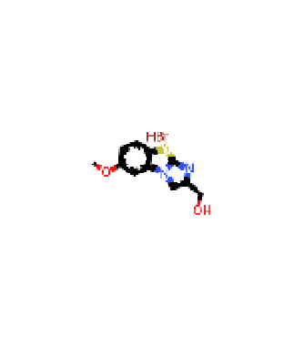 Br.COc1ccc2sc3nc(CO)cn3c2c1